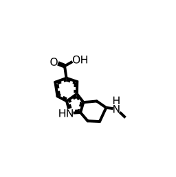 CNC1CCc2[nH]c3ccc(C(=O)O)cc3c2C1